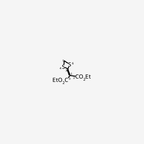 CCOC(=O)C(C(=O)OCC)=C1SCS1